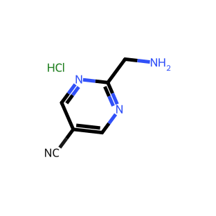 Cl.N#Cc1cnc(CN)nc1